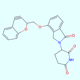 O=C1CCC(N2Cc3c(OCC4C#Cc5ccccc5O4)cccc3C2=O)C(=O)N1